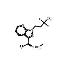 CC(=O)O.N=C(N)c1nn(CCC(F)(F)C(F)(F)F)c2ncccc12